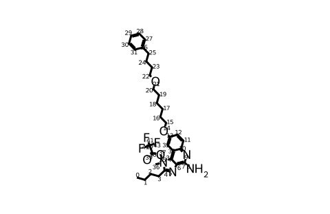 CCCCC1=Nc2c(N)nc3ccc(OCCCCCCOCCCCc4ccccc4)cc3c2[N+]1(C)OC(=O)C(F)(F)F